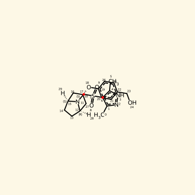 Cc1n[nH]c(C)c1S(=O)(=O)CN1[C@@H]2CC[C@H]1C[C@H](Oc1ccc(CO)cc1)C2